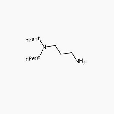 CCCCCN(CCCN)CCCCC